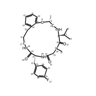 CC(C)[C@@H]1NC[C@@H](C)Oc2ccccc2CCCNC(=O)[C@@H](Cc2ccc(F)cc2)NC(=O)CN(C)C1=O